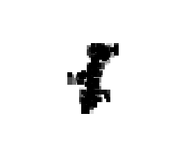 N#CCC(C1CCN(c2ncc(Br)nc2C#N)C1)n1cc(-c2ncnc3[nH]ccc23)cn1